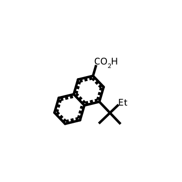 CCC(C)(C)c1cc(C(=O)O)cc2ccccc12